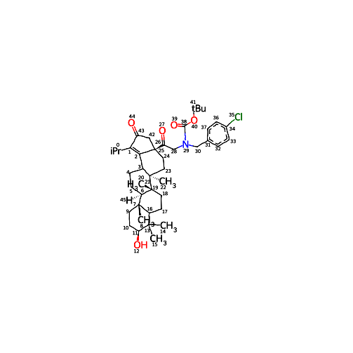 CC(C)C1=C2C3CC[C@@H]4[C@@]5(C)CC[C@H](O)C(C)(C)C5CC[C@@]4(C)[C@]3(C)CC[C@@]2(C(=O)CN(Cc2ccc(Cl)cc2)C(=O)OC(C)(C)C)CC1=O